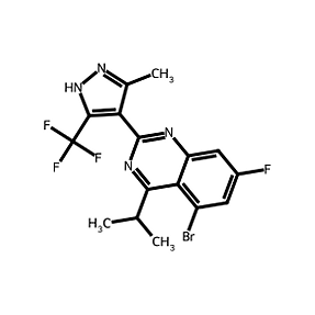 Cc1n[nH]c(C(F)(F)F)c1-c1nc(C(C)C)c2c(Br)cc(F)cc2n1